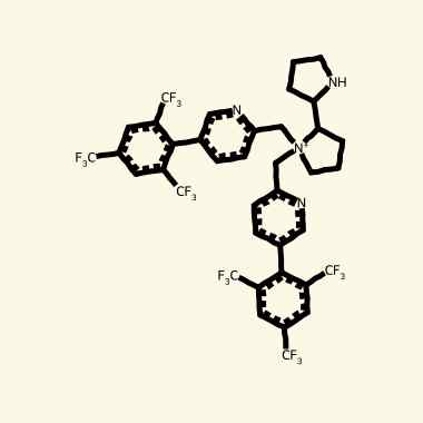 FC(F)(F)c1cc(C(F)(F)F)c(-c2ccc(C[N+]3(Cc4ccc(-c5c(C(F)(F)F)cc(C(F)(F)F)cc5C(F)(F)F)cn4)CCCC3C3CCCN3)nc2)c(C(F)(F)F)c1